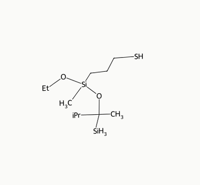 CCO[Si](C)(CCCS)OC(C)([SiH3])C(C)C